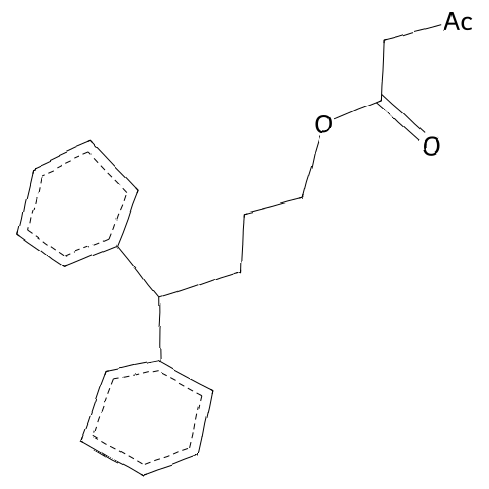 CC(=O)CC(=O)OCCCC(c1ccccc1)c1ccccc1